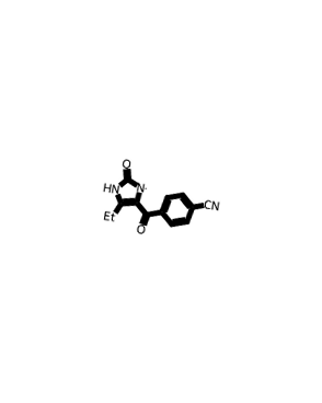 CCC1=C(C(=O)c2ccc(C#N)cc2)[N]C(=O)N1